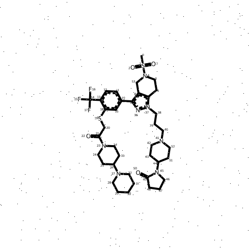 CS(=O)(=O)N1CCc2c(c(-c3ccc(C(F)(F)F)c(SCC(=O)N4CCC(N5CCCCC5)CC4)c3)nn2CCCN2CCC(N3CCCC3=O)CC2)C1